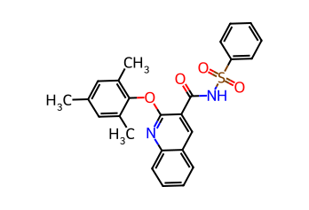 Cc1cc(C)c(Oc2nc3ccccc3cc2C(=O)NS(=O)(=O)c2ccccc2)c(C)c1